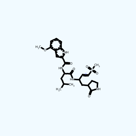 COc1cccc2[nH]c(C(=O)NC(CC(C)C)C(=O)NC(/C=C/S(C)(=O)=O)CC3CCNC3=O)cc12